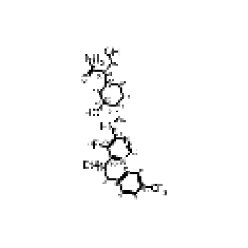 CCN(Cc1ccc(C(F)(F)F)cc1)c1ncnc(NC[C@H]2CCN([C@H](CO)C(N)=O)C[C@@H]2O)c1F